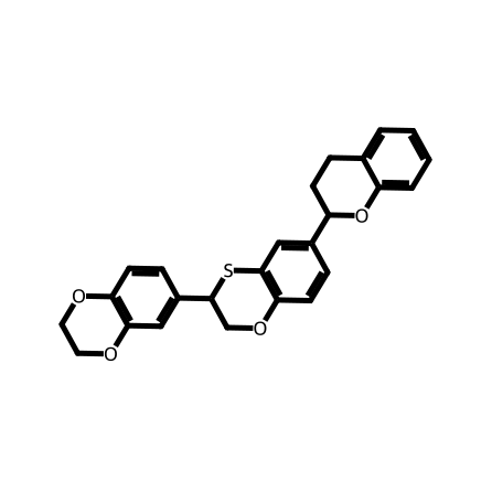 c1ccc2c(c1)CCC(c1ccc3c(c1)SC(c1ccc4c(c1)OCCO4)CO3)O2